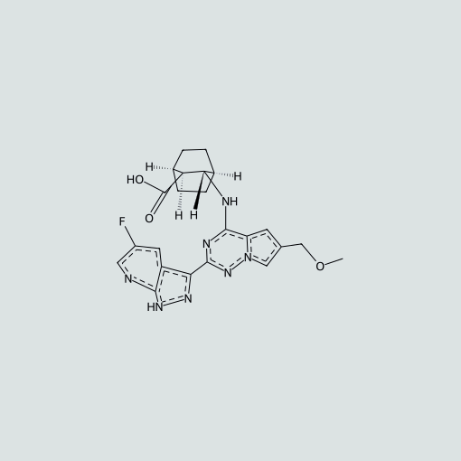 COCc1cc2c(N[C@H]3[C@H]4CC[C@H](CC4)[C@@H]3C(=O)O)nc(-c3n[nH]c4ncc(F)cc34)nn2c1